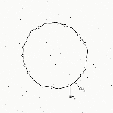 CC1CCCCCCCCCCCCCCCCCCCCCC1N